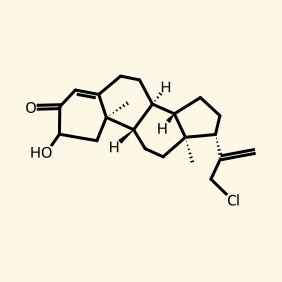 C=C(CCl)[C@H]1CC[C@H]2[C@@H]3CCC4=CC(=O)C(O)C[C@]4(C)[C@H]3CC[C@]12C